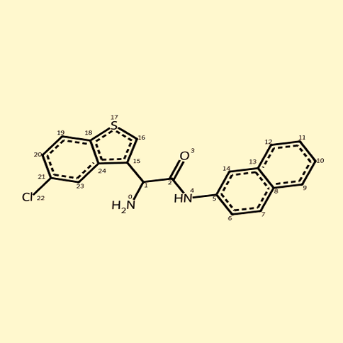 NC(C(=O)Nc1ccc2ccccc2c1)c1csc2ccc(Cl)cc12